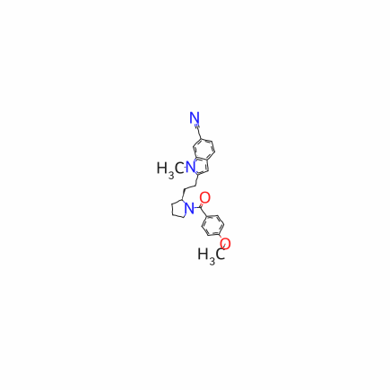 COc1ccc(C(=O)N2CCC[C@H]2CCc2cc3ccc(C#N)cc3n2C)cc1